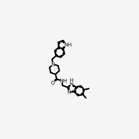 Cc1cc2nc(CNC(=O)C3CCN(Cc4ccc5[nH]ccc5c4)CC3)[nH]c2cc1C